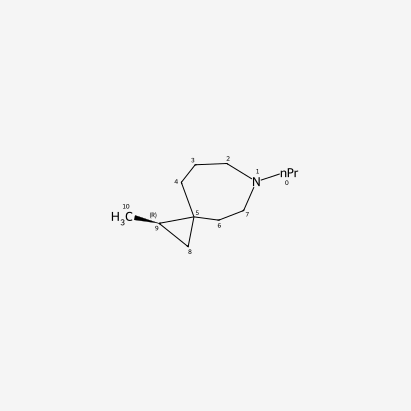 CCCN1CCCC2(CC1)C[C@H]2C